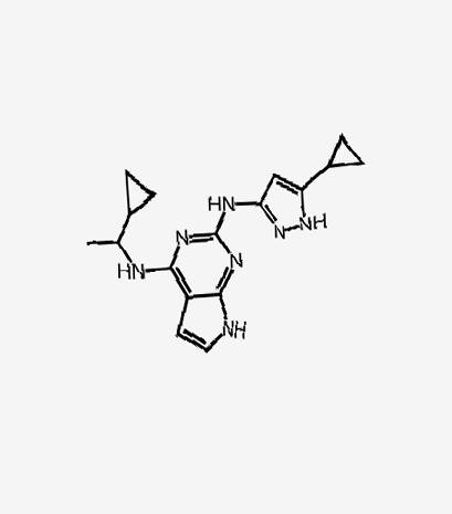 CC(Nc1nc(Nc2cc(C3CC3)[nH]n2)nc2[nH]ccc12)C1CC1